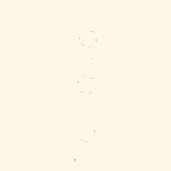 CCCC[C@H](F)C(=O)O[C@H]1CC[C@H](c2ccc(OC(=O)c3ccc(OCC)c(F)c3F)cc2)CC1